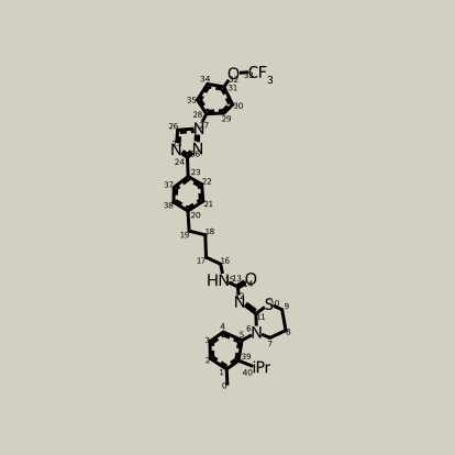 Cc1cccc(N2CCCS/C2=N\C(=O)NCCCCc2ccc(-c3ncn(-c4ccc(OC(F)(F)F)cc4)n3)cc2)c1C(C)C